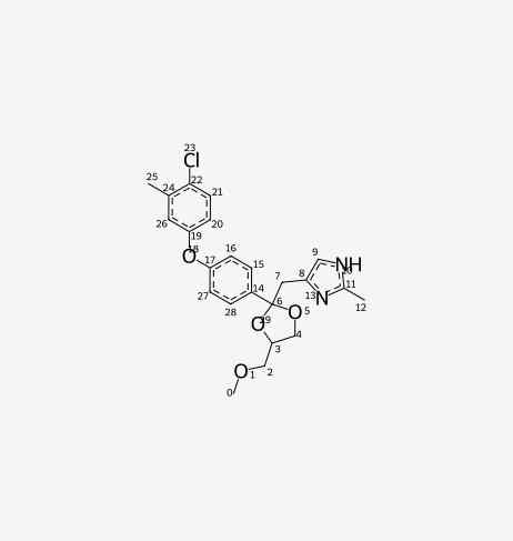 COCC1COC(Cc2c[nH]c(C)n2)(c2ccc(Oc3ccc(Cl)c(C)c3)cc2)O1